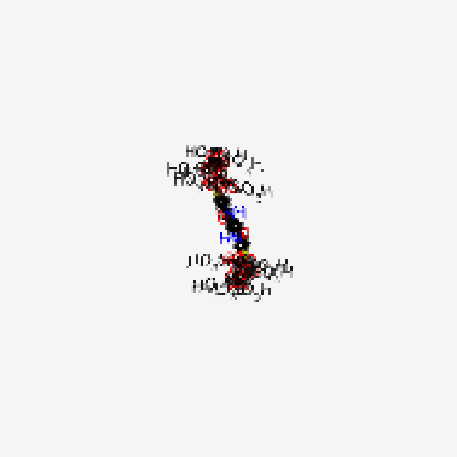 O=C(Nc1ccc(S[C@@H]2O[C@H](COS(=O)(=O)O)[C@@H](O[C@H]3O[C@H](COS(=O)(=O)O)[C@@H](OS(=O)(=O)O)[C@H](OS(=O)(=O)O)[C@H]3OS(=O)(=O)O)[C@H](OS(=O)(=O)O)[C@H]2OS(=O)(=O)O)cc1)c1ccc(C(=O)Nc2ccc(S[C@@H]3O[C@H](COS(=O)(=O)O)[C@@H](O[C@H]4O[C@H](COS(=O)(=O)O)[C@@H](OS(=O)(=O)O)[C@H](OS(=O)(=O)O)[C@H]4OS(=O)(=O)O)[C@H](OS(=O)(=O)O)[C@H]3OS(=O)(=O)O)cc2)cc1